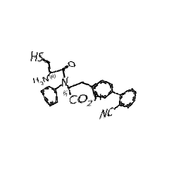 N#Cc1ccccc1-c1ccc(C[C@@H](C(=O)O)N(C(=O)[C@@H](N)CS)c2ccccc2)cc1